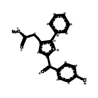 COC(=O)Cc1cc(C(=O)c2ccc(Cl)cc2)sc1-c1ccccc1